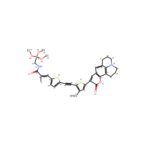 CCCCCCc1cc(-c2cc3cc4c5c(c3oc2=O)CCCN5CCC4)sc1C#Cc1ccc(/C=C(\C)C(=O)NC[Si](OCC)(OCC)OCC)s1